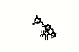 Cc1cc(COc2ccc(Sc3ccoc3C3NC(=O)NC3=O)cc2)c[n+]([O-])c1